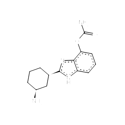 NC(=O)Oc1cccc2[nH]c([C@@H]3CCC[C@H](N)C3)nc12